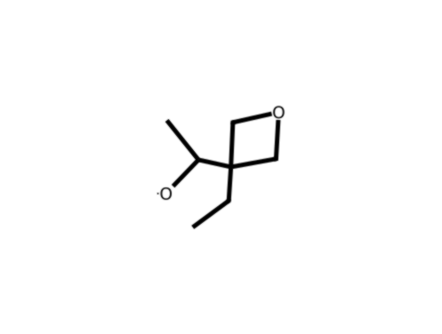 CCC1(C(C)[O])COC1